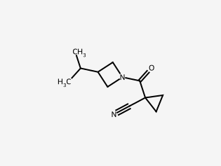 CC(C)C1CN(C(=O)C2(C#N)CC2)C1